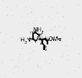 C=C/C=C(\C=C(/C)OC)N1C[C@H](N)C[C@H](N)C1